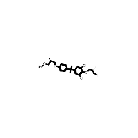 CC(C)OC[C@H](C)COc1ccc(C(C)(C)c2cc(Cl)c(OC[C@H](C)CCl)c(Cl)c2)cc1